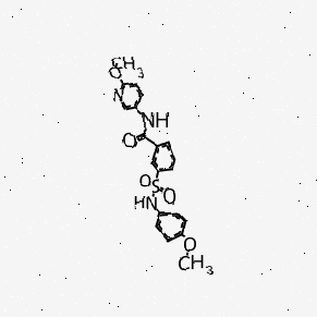 COc1ccc(NS(=O)(=O)c2cccc(C(=O)Nc3ccc(OC)nc3)c2)cc1